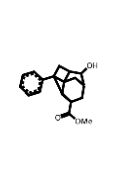 COC(=O)C12CC3CC4(C1)C(CC4(c1ccccc1)C2)C3O